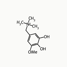 COc1cc(C[N+](C)(C)C)cc(O)c1O